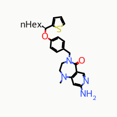 CCCCCC[C@H](Oc1ccc(CN2CCN(C)c3cc(N)ncc3C2=O)cc1)c1cccs1